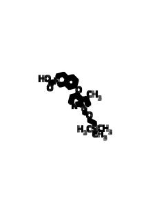 Cc1cn(COCC[Si](C)(C)C)c2nccc(Oc3ccc4c(c3)CN(C(=O)O)CC4)c12